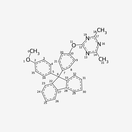 COc1ccc(C2(c3ccc(Oc4nc(C)nc(C)n4)cc3)c3ccccc3-c3ccccc32)cc1